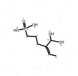 CC=C(CCCP(=O)(O)O)C(O)O